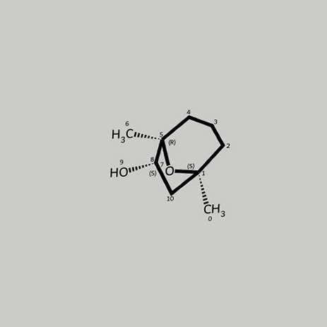 C[C@@]12CCC[C@@](C)(O1)[C@@H](O)C2